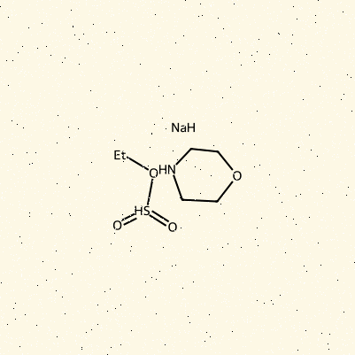 C1COCCN1.CCO[SH](=O)=O.[NaH]